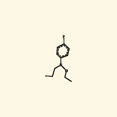 CCCN(OCC)c1ccc(F)cc1